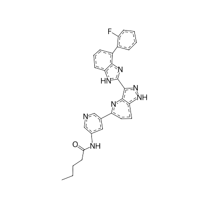 CCCCC(=O)Nc1cncc(-c2ccc3[nH]nc(-c4nc5c(-c6ccccc6F)cccc5[nH]4)c3n2)c1